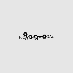 CC(=O)Oc1ccc(C#Cc2ccc(N3CCN(C(=O)c4ccccc4C(F)(F)F)CC3)nn2)cc1